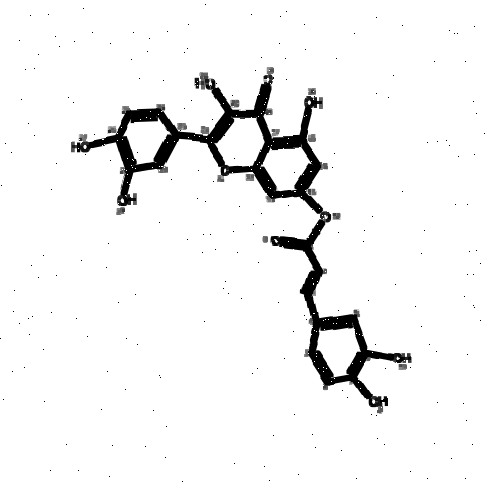 O=C(C=Cc1ccc(O)c(O)c1)Oc1cc(O)c2c(=O)c(O)c(-c3ccc(O)c(O)c3)oc2c1